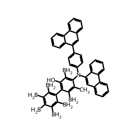 Bc1c(B)c(B)c(-c2c(B)c(C)c(N(c3ccc(-c4cc5ccccc5c5ccccc45)cc3)c3cc4ccccc4c4ccccc34)c(B)c2O)c(B)c1B